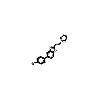 C[C@H]1CCCN1CCc1nc2cc(-c3ccc(C#N)cc3)ccc2o1